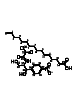 CCCCCCCCCCCCCCCC(=O)O.O=C(NC(CO)C(O)c1ccc([N+](=O)[O-])cc1)C(Cl)Cl